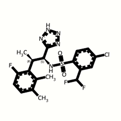 Cc1ccc(F)c([C@@H](C)[C@H](NS(=O)(=O)c2ccc(Cl)cc2C(F)F)c2nn[nH]n2)c1C